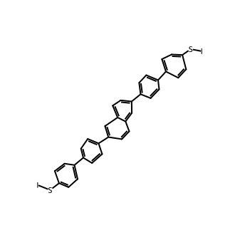 ISc1ccc(-c2ccc(-c3ccc4cc(-c5ccc(-c6ccc(SI)cc6)cc5)ccc4c3)cc2)cc1